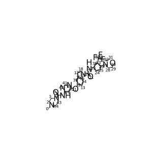 CN1CCN(C(=O)Nc2cc(Oc3ccc4c(ccn4C(=O)Nc4ccc(N5CCOCC5)c(C(F)(F)F)c4)c3)ncn2)CC1